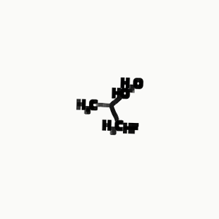 CC(C)O.F.O